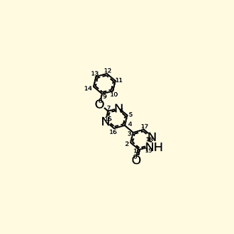 O=c1cc(-c2cnc(Oc3ccccc3)nc2)cn[nH]1